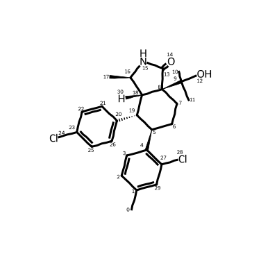 Cc1ccc([C@@H]2CC[C@@]3(C(C)(C)O)C(=O)N[C@H](C)[C@H]3[C@H]2c2ccc(Cl)cc2)c(Cl)c1